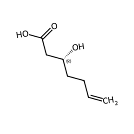 C=CCC[C@@H](O)CC(=O)O